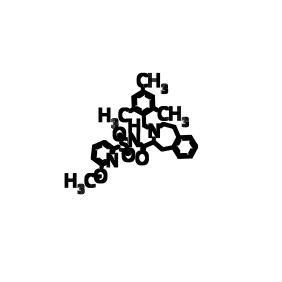 COc1cccc(S(=O)(=O)NC(=O)C2Cc3ccccc3CCN2Cc2c(C)cc(C)cc2C)n1